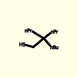 CCCCC(CS)(CCC)CCC